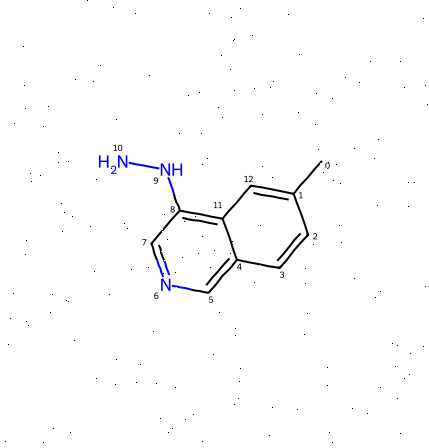 Cc1ccc2cncc(NN)c2c1